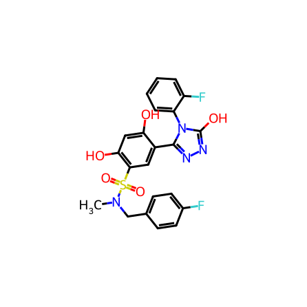 CN(Cc1ccc(F)cc1)S(=O)(=O)c1cc(-c2nnc(O)n2-c2ccccc2F)c(O)cc1O